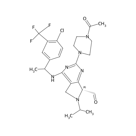 CC(=O)N1CCN(c2nc(NC(C)c3ccc(Cl)c(C(F)(F)F)c3)c3c(n2)[C@H](C=O)N(C(C)C)C3)CC1